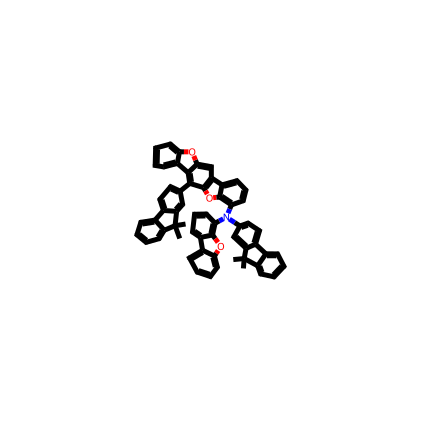 CC1(C)c2ccccc2-c2ccc(-c3c4oc5c(N(c6ccc7c(c6)C(C)(C)c6ccccc6-7)c6cccc7c6oc6ccccc67)cccc5c4cc4oc5ccccc5c34)cc21